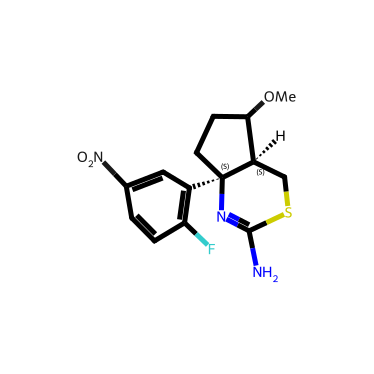 COC1CC[C@]2(c3cc([N+](=O)[O-])ccc3F)N=C(N)SC[C@H]12